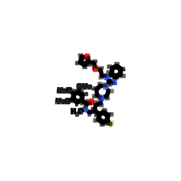 COc1cc(C(=O)N(C)CC(CCN2CCCN(c3nc4ccccc4n3CCOCc3ccco3)CC2)c2ccc(F)cc2)cc(OC)c1OC